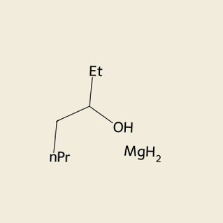 CCCCC(O)CC.[MgH2]